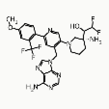 COc1ccc(-c2cc(Cn3cnc4c(N)ncnc43)c(N3CCC[C@](N)(C(O)C(F)F)C3)cn2)c(C(F)(F)F)c1